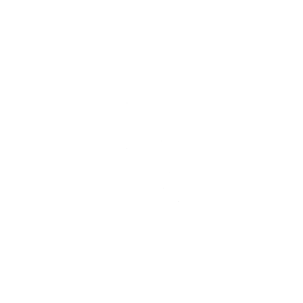 OCSc1ccc(CS)cc1